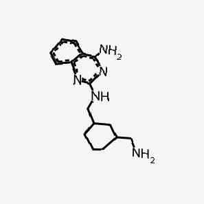 NCC1CCCC(CNc2nc(N)c3ccccc3n2)C1